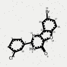 O=c1[nH]c(-c2cccc(Cl)c2)nc2c1oc1ccc(Br)cc12